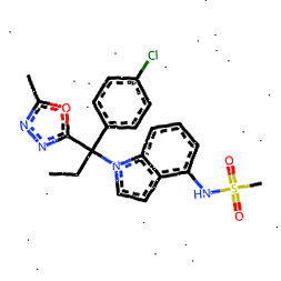 CCC(c1ccc(Cl)cc1)(c1nnc(C)o1)n1ccc2c(NS(C)(=O)=O)cccc21